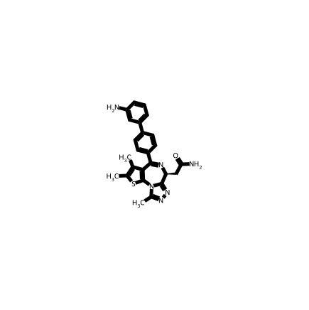 Cc1sc2c(c1C)C(c1ccc(-c3cccc(N)c3)cc1)=N[C@@H](CC(N)=O)c1nnc(C)n1-2